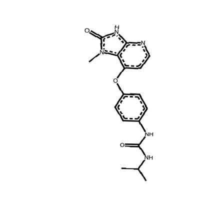 CC(C)NC(=O)Nc1ccc(Oc2ccnc3[nH]c(=O)n(C)c23)cc1